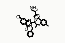 Cc1ccc(-c2nc(CCN)cn2C(c2nc3cc(Cl)ccc3c(=O)n2Cc2ccccc2)C(C)C)cc1